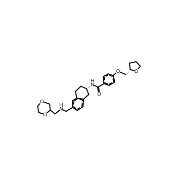 O=C(N[C@H]1CCc2cc(CNCC3COCCO3)ccc2C1)c1ccc(OC[C@@H]2CCCO2)cc1